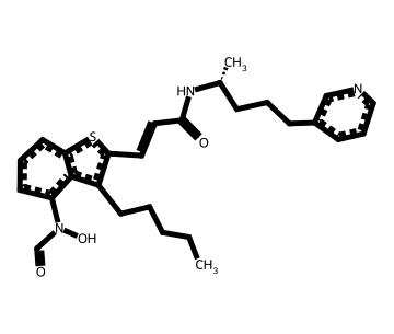 CCCCCc1c(/C=C/C(=O)N[C@H](C)CCCc2cccnc2)sc2cccc(N(O)C=O)c12